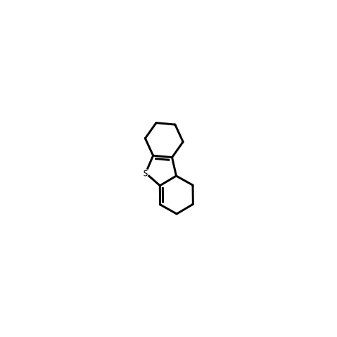 C1=C2SC3=C(CCCC3)C2CCC1